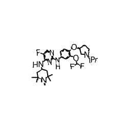 CC(C)N1CCC(Oc2ccc(Nc3ncc(F)c(NC4CC(C)(C)N(C)C(C)(C)C4)n3)cc2OC(F)F)C1